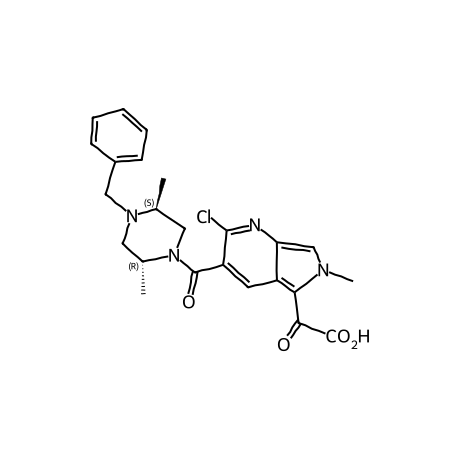 C[C@@H]1CN(Cc2ccccc2)[C@@H](C)CN1C(=O)c1cc2c(C(=O)C(=O)O)n(C)cc2nc1Cl